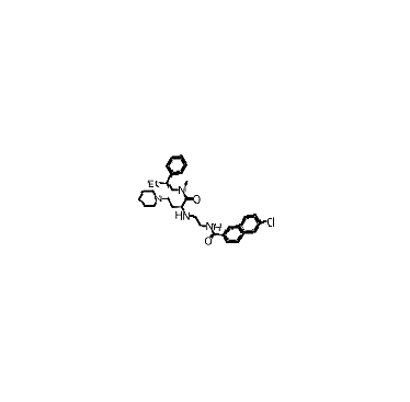 CC[C@H](CN(C)C(=O)[C@H](CCN1CCCCC1)NCCNC(=O)c1ccc2cc(Cl)ccc2c1)c1ccccc1